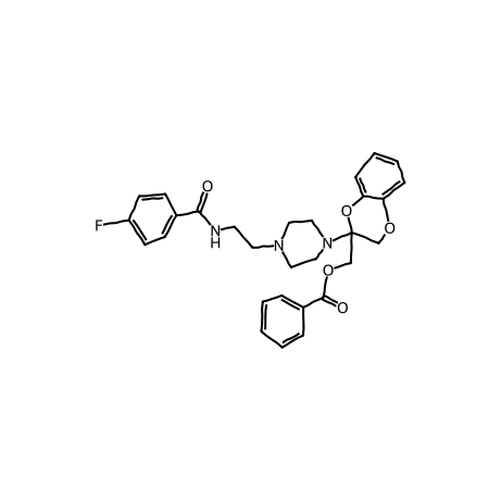 O=C(NCCN1CCN(C2(COC(=O)c3ccccc3)COc3ccccc3O2)CC1)c1ccc(F)cc1